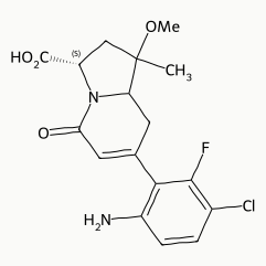 COC1(C)C[C@@H](C(=O)O)N2C(=O)C=C(c3c(N)ccc(Cl)c3F)CC21